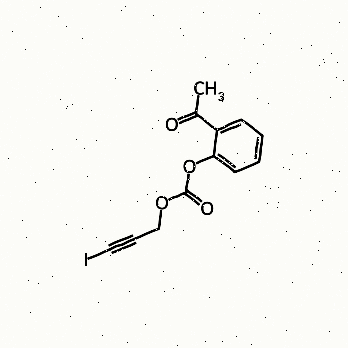 CC(=O)c1ccccc1OC(=O)OCC#CI